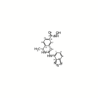 CC(NC(=O)Nc1cccc2nsnc12)c1ccc(C(=O)NO)cc1